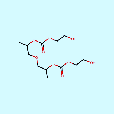 CC(COCC(C)OC(=O)OCCO)OC(=O)OCCO